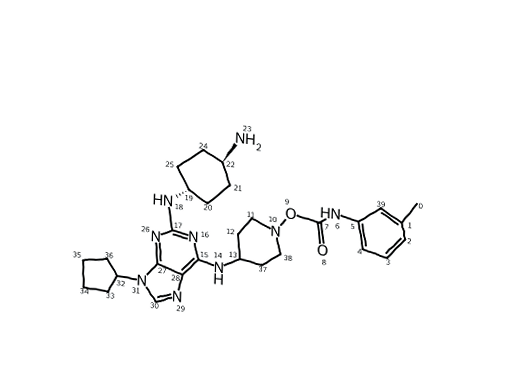 Cc1cccc(NC(=O)ON2CCC(Nc3nc(N[C@H]4CC[C@H](N)CC4)nc4c3ncn4C3CCCC3)CC2)c1